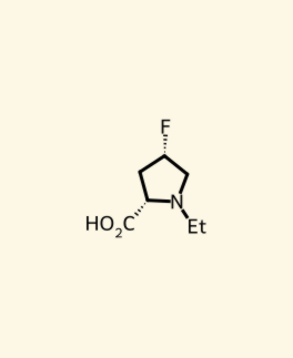 CCN1C[C@@H](F)C[C@H]1C(=O)O